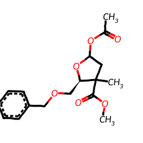 COC(=O)C1(C)CC(OC(C)=O)O[C@@H]1COCc1ccccc1